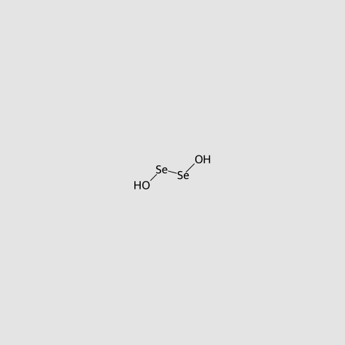 O[Se][Se]O